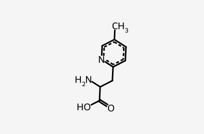 Cc1ccc(CC(N)C(=O)O)nc1